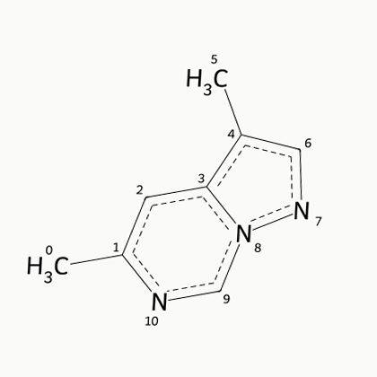 Cc1cc2c(C)cnn2cn1